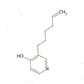 C=CCCCCc1cnccc1O